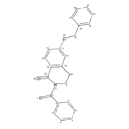 O=C(c1ccccc1)N1CCc2cc(OCc3ccccc3)ccc2C1=O